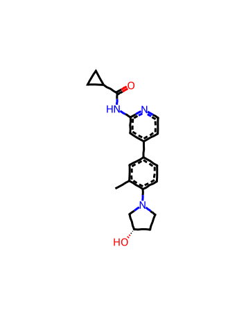 Cc1cc(-c2ccnc(NC(=O)C3CC3)c2)ccc1N1CC[C@H](O)C1